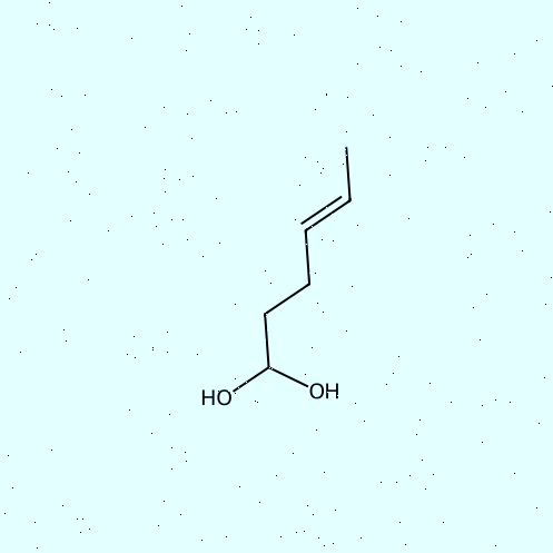 C/C=C/CCC(O)O